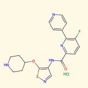 Cl.O=C(Nc1cnsc1OC1CCNCC1)c1ccc(F)c(-c2ccncc2)n1